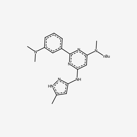 CCCCN(C)c1cc(Nc2cc(C)[nH]n2)nc(-c2cccc(N(C)C)c2)n1